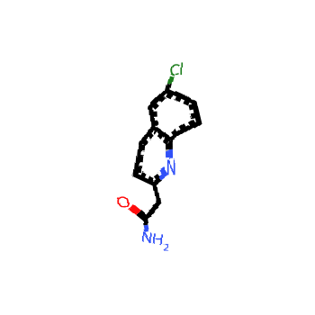 NC(=O)Cc1ccc2cc(Cl)ccc2n1